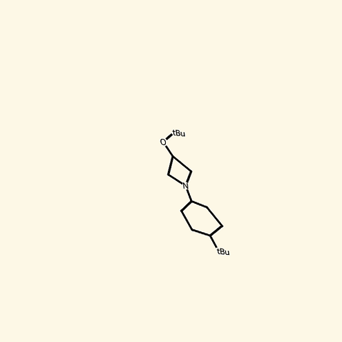 CC(C)(C)OC1CN(C2CCC(C(C)(C)C)CC2)C1